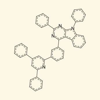 c1ccc(-c2cc(-c3ccccc3)nc(-c3cccc(-c4nc(-c5ccccc5)nc5c4c4ccccc4n5-c4ccccc4)c3)c2)cc1